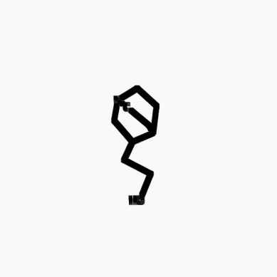 OCCC1CN2CCC1CC2